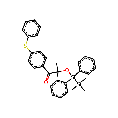 CC(C)(O[Si](c1ccccc1)(c1ccccc1)[Si](C)(C)C)C(=O)c1ccc(Sc2ccccc2)cc1